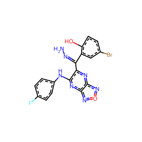 NN=C(c1cc(Br)ccc1O)c1nc2nonc2nc1Nc1ccc(F)cc1